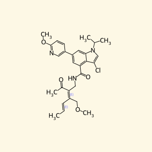 C/C=C/C(COC)=C(/CNC(=O)c1cc(-c2ccc(OC)nc2)cc2c1c(Cl)cn2C(C)C)C(C)=O